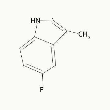 Cc1[c][nH]c2ccc(F)cc12